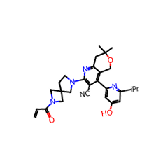 C=CC(=O)N1CC2(CCN(c3nc4c(c(-c5cc(O)cc(C(C)C)n5)c3C#N)COC(C)(C)C4)C2)C1